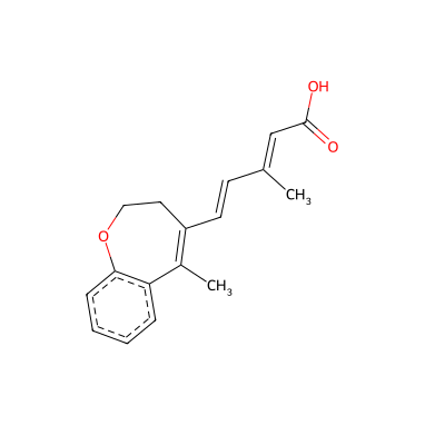 CC1=C(/C=C/C(C)=C/C(=O)O)CCOc2ccccc21